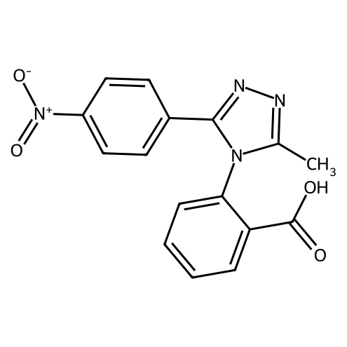 Cc1nnc(-c2ccc([N+](=O)[O-])cc2)n1-c1ccccc1C(=O)O